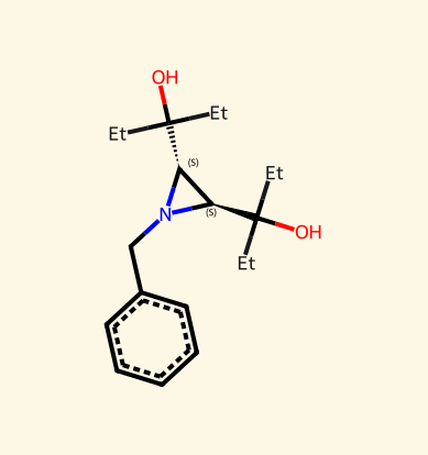 CCC(O)(CC)[C@@H]1[C@@H](C(O)(CC)CC)N1Cc1ccccc1